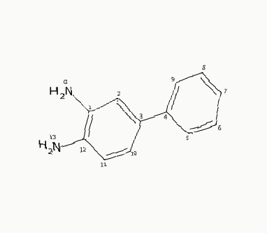 Nc1[c]c(-c2[c]cccc2)ccc1N